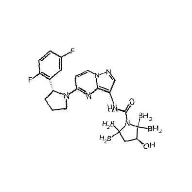 BC1(B)C[C@H](O)C(B)(B)N1C(=O)Nc1cnn2ccc(N3CCC[C@@H]3c3cc(F)ccc3F)nc12